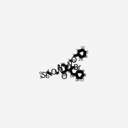 C[Si](C)(C)CCOCn1ncc2c(c(Cc3ccccc3)c(Br)n2COCc2ccccc2)c1=O